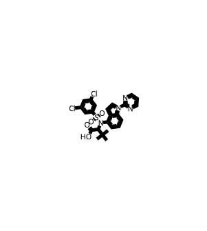 CC(C)(C)C(C(=O)O)N(c1cccc2c1ccn2-c1ncccn1)S(=O)(=O)c1cc(Cl)cc(Cl)c1